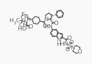 CC(C)(C)N(C(=O)O)[C@H](CF)C1CCC(C(=O)N2CC[C@H](c3ccccc3)[C@H]2C(=O)Nc2ccc3[nH]c(C(=O)NS(=O)(=O)N4CCOCC4)cc3c2)CC1